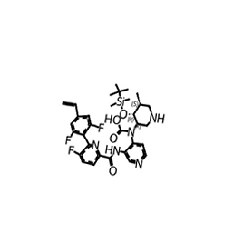 C=Cc1cc(F)c(-c2nc(C(=O)Nc3cnccc3N(C(=O)O)[C@@H]3CNC[C@H](C)[C@H]3O[Si](C)(C)C(C)(C)C)ccc2F)c(F)c1